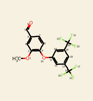 COc1cc(C=O)ccc1Oc1cc(C(F)(F)F)cc(C(F)(F)F)c1